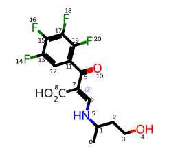 CC(CCO)N/C=C(\C(=O)O)C(=O)c1cc(F)c(F)c(F)c1F